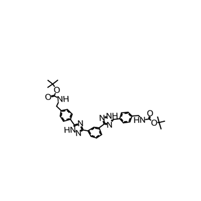 CC(C)(C)OC(=O)NCc1ccc(-c2nc(-c3cccc(-c4n[nH]c(-c5ccc(CNC(=O)OC(C)(C)C)cc5)n4)c3)n[nH]2)cc1